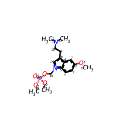 COc1ccc2c(c1)c(CCN(C)C)cn2COP(=O)(OC)OC